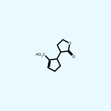 O=C(O)C1=CCCC1C1CCOC1=O